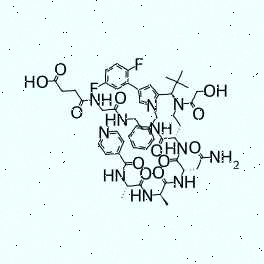 C[C@H](NC(=O)c1ccncc1)C(=O)N[C@H](C)C(=O)N[C@@H](CC(N)=O)C(=O)N[C@@H](CCN(C(=O)CO)[C@@H](c1cc(-c2cc(F)ccc2F)cn1Cc1ccccc1)C(C)(C)C)C(=O)NCCNC(=O)CNC(=O)CCC(=O)O